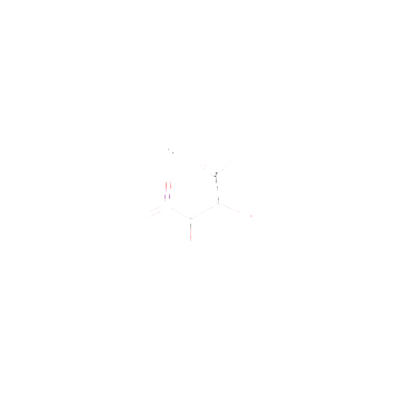 O=C([O-])C(O)C(O)P(=O)=O.[Na+]